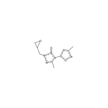 Cc1cc(-n2c(C)nn(CC3CO3)c2=O)on1